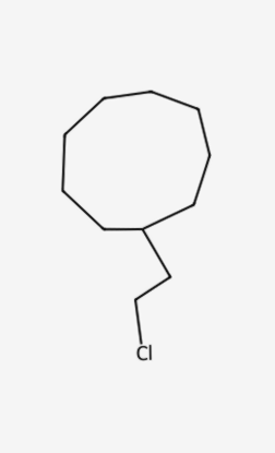 ClCCC1CCCCCCCC1